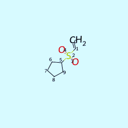 C=CS(=O)(=O)C1CCCC1